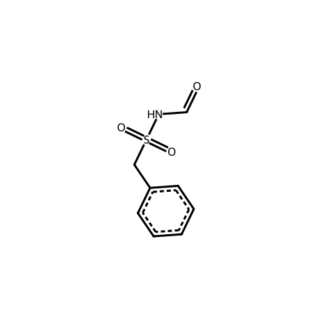 O=CNS(=O)(=O)Cc1ccccc1